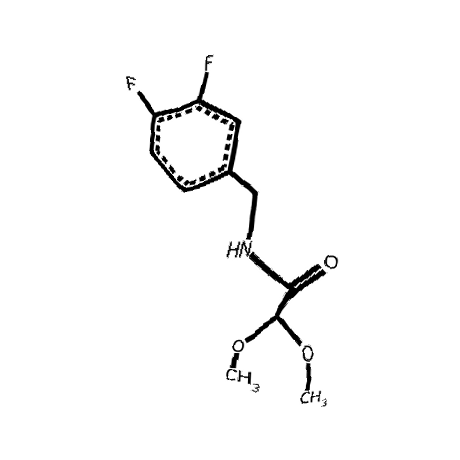 COC(OC)C(=O)NCc1ccc(F)c(F)c1